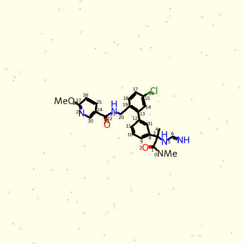 CNC(=O)C(C)(NC=N)c1cccc(-c2cc(Cl)ccc2CNC(=O)c2ccc(OC)nc2)c1